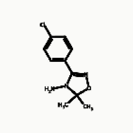 CC1(C)ON=C(c2ccc(Cl)cc2)N1N